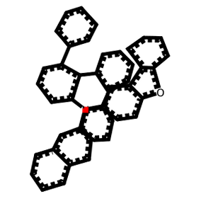 c1ccc(-c2ccccc2-c2c(-c3ccccc3)cccc2N(c2ccc3ccccc3c2)c2ccc3oc4ccccc4c3c2)cc1